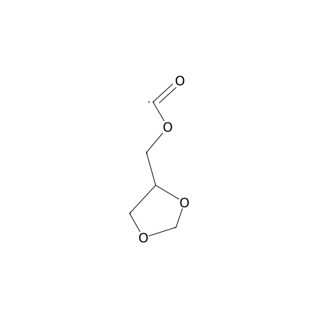 O=[C]OCC1COCO1